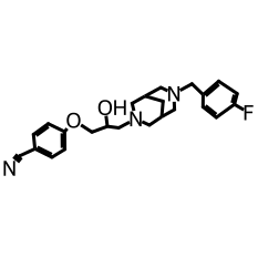 N#Cc1ccc(OCC(O)CN2CC3CC(CN(Cc4ccc(F)cc4)C3)C2)cc1